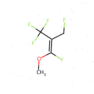 COC(F)=C(CF)C(F)(F)F